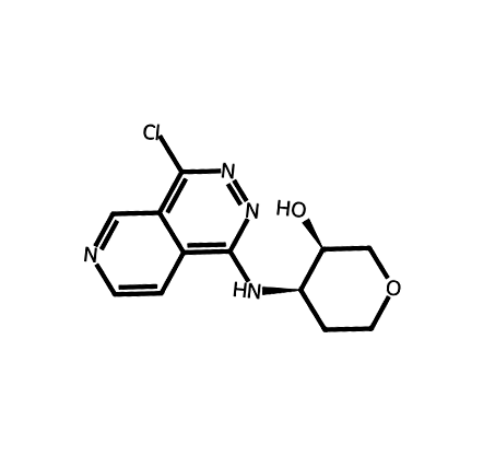 O[C@H]1COCC[C@H]1Nc1nnc(Cl)c2cnccc12